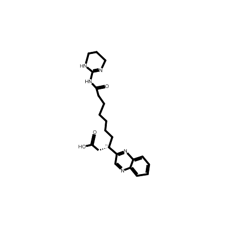 O=C(O)C[C@H](CCCCCCC(=O)NC1=NCCCN1)c1cnc2ccccc2n1